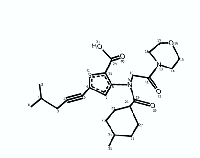 CC(C)CC#Cc1cc(N(CC(=O)N2CCOCC2)C(=O)C2CCC(C)CC2)c(C(=O)O)s1